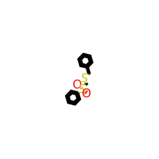 O=S(=O)(CSCc1ccccc1)c1ccccc1